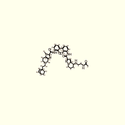 CC(=O)NCCNC1CCCn2nc(C(=O)Nc3cccc(-c4cccc(NC(=O)c5nc6c(n5C)CCN(CCC57CCC(CC5)C7)C6)c4Cl)c3Cl)cc21